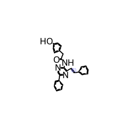 O=C(Cc1ccc(O)cc1)Nc1ncc(-c2ccccc2)nc1/C=C/c1ccccc1